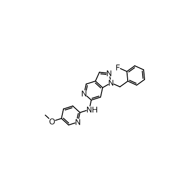 COc1ccc(Nc2cc3c(cn2)cnn3Cc2ccccc2F)nc1